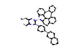 C=C/C=c1/nc(-n2c3cccc4c3c3c5c(cccc5ccc32)-c2ccccc2-4)c(-c2ccc(-c3ccc4ccccc4c3)cc2)n/c1=C/C